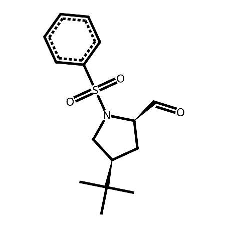 CC(C)(C)[C@@H]1C[C@H](C=O)N(S(=O)(=O)c2ccccc2)C1